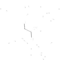 ClCCCl.[Ru]